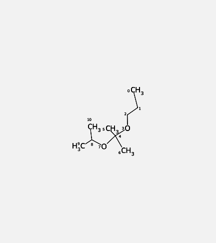 CCCOC(C)(C)OC(C)C